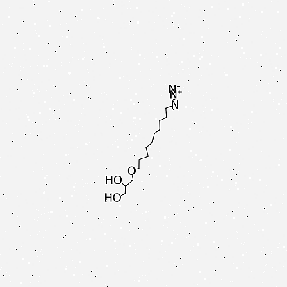 [N-]=[N+]=NCCCCCCCCCCOCC(O)CO